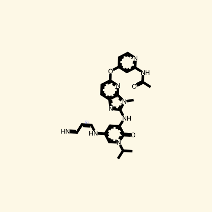 CC(=O)Nc1cc(Oc2ccc3nc(Nc4cc(N/C=C\C=N)cn(C(C)C)c4=O)n(C)c3n2)ccn1